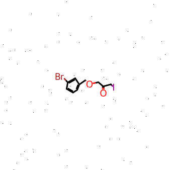 O=C(CI)COCc1cccc(Br)c1